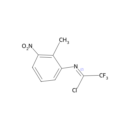 Cc1c(/N=C(\Cl)C(F)(F)F)cccc1[N+](=O)[O-]